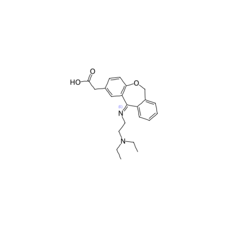 CCN(CC)CC/N=C1\c2ccccc2COc2ccc(CC(=O)O)cc21